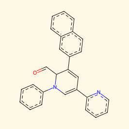 O=CC1C(c2ccc3ccccc3c2)=CC(c2ccccn2)=CN1c1ccccc1